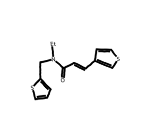 CCN(Cc1cccs1)C(=O)C=Cc1ccsc1